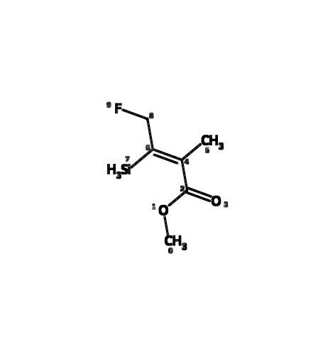 COC(=O)C(C)=C([SiH3])CF